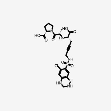 C[C@H](N[C@@H](CC#CCNS(=O)(=O)c1cc2c(cc1Cl)NCNS2)C(=O)O)C(=O)N1CCC[C@H]1C(=O)O